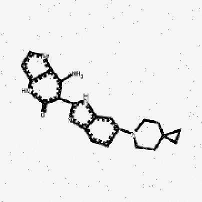 Nc1c(-c2nc3ccc(N4CCC5(CC4)CC5)cc3[nH]2)c(=O)[nH]c2cc[se]c12